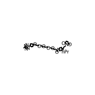 CCCC1CN(C(=O)CCOCCOCCOCCOCCOc2ccc(-c3nnc(C)nn3)cc2)CCN1CCCN1C(=O)C=CC1=O